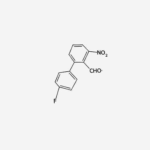 O=[C]c1c(-c2ccc(F)cc2)cccc1[N+](=O)[O-]